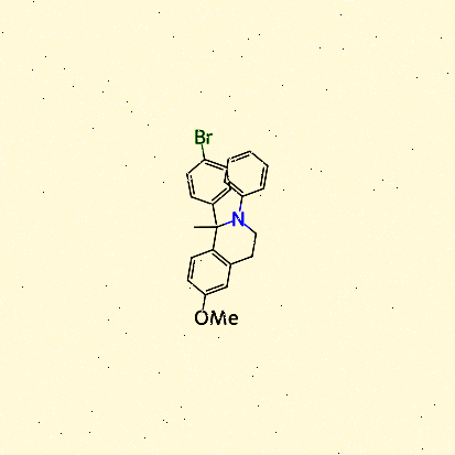 COc1ccc2c(c1)CCN(c1ccccc1)C2(C)c1ccc(Br)cc1